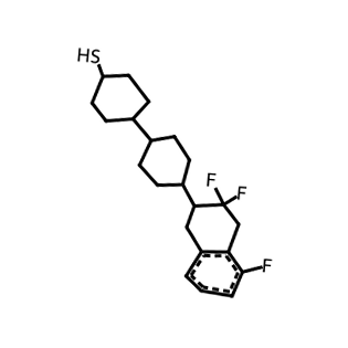 Fc1cccc2c1CC(F)(F)C(C1CCC(C3CCC(S)CC3)CC1)C2